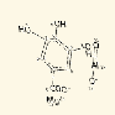 O=C([O-])c1cc(O)c(O)c(O)c1.[Mg+2].[O]=[Al][O-]